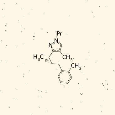 Cc1ccccc1CC[C@H](C)c1nn(C(C)C)cc1C